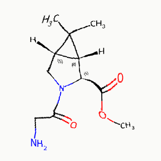 COC(=O)[C@@H]1[C@@H]2[C@H](CN1C(=O)CN)C2(C)C